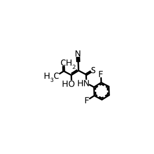 C=C(C)C(O)=C(C#N)C(=S)Nc1c(F)cccc1F